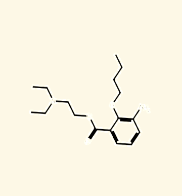 CCCCOc1c(N)cccc1C(=O)OCCN(CC)CC